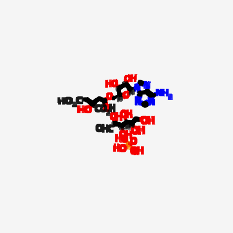 Nc1ncnc2c1ncn2[C@@H]1O[C@H](COC(=O)CC(O)(CC(=O)O)C(=O)O)[C@@H](O)[C@H]1O.O=C[C@H](O)[C@@H](O)[C@H](O)[C@H](O)CO.O=P(O)(O)O